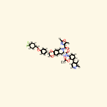 CCC(=O)Oc1c(NC(=O)[C@@H]2Cc3cc4c(cc3CN2C(=O)c2nc(C)oc2C)O[C@@H](c2ccc(OCC3CCC(F)(F)CC3)cc2)CO4)cccc1-c1ccnc(C)c1C